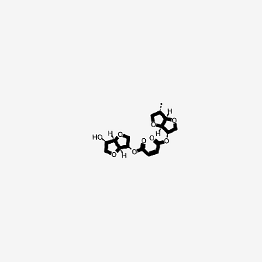 C[C@H]1CO[C@H]2[C@@H]1OC[C@@H]2OC(=O)/C=C\C(=O)O[C@H]1CO[C@H]2[C@@H]1OC[C@@H]2O